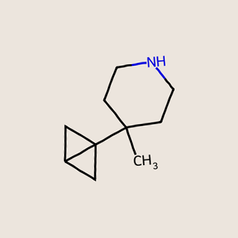 CC1(C23CC2C3)CCNCC1